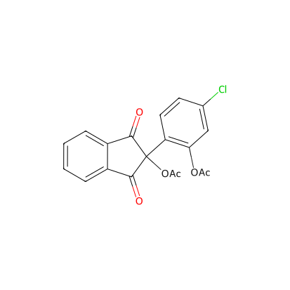 CC(=O)Oc1cc(Cl)ccc1C1(OC(C)=O)C(=O)c2ccccc2C1=O